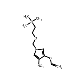 C=COc1nn(COCC[Si](C)(C)C)cc1[N+](=O)[O-]